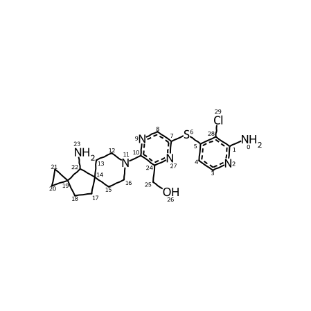 Nc1nccc(Sc2cnc(N3CCC4(CC3)CCC3(CC3)C4N)c(CO)n2)c1Cl